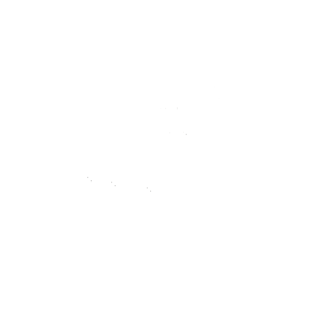 CC(C[C@H](NC(=O)c1ccc(NC(Cn2ccnc2)c2ccc(F)cc2)cc1-c1ccc(F)cc1)C(=O)O)S(C)(=O)=O